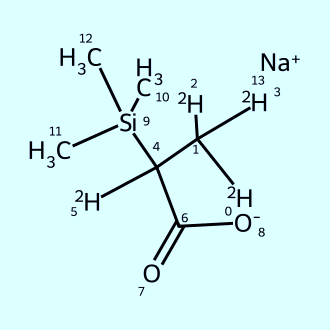 [2H]C([2H])([2H])C([2H])(C(=O)[O-])[Si](C)(C)C.[Na+]